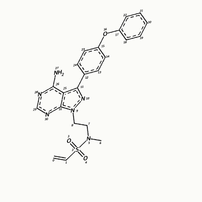 C=CS(=O)(=O)N(C)CCn1nc(-c2ccc(Oc3ccccc3)cc2)c2c(N)ncnc21